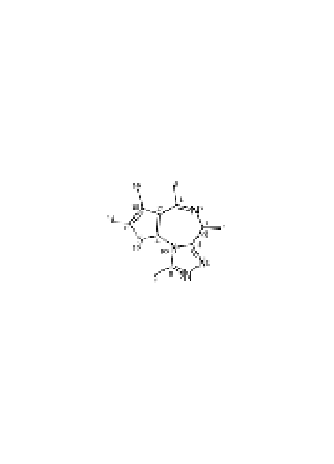 CC1=N[C@@H](C)c2nnc(C)n2-c2sc(C)c(C)c21